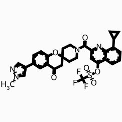 Cn1cc(-c2ccc3c(c2)C(=O)CC2(CCN(C(=O)c4cc(OS(=O)(=O)C(F)(F)F)c5cccc(C6CC6)c5n4)CC2)O3)cn1